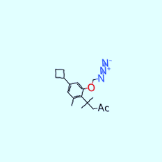 CC(=O)CC(C)(C)c1c(C)cc(C2CCC2)cc1OCN=[N+]=[N-]